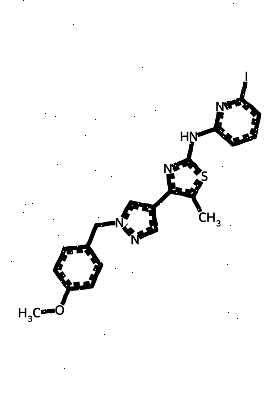 COc1ccc(Cn2cc(-c3nc(Nc4cccc(I)n4)sc3C)cn2)cc1